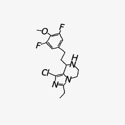 CCc1nc(Cl)c2n1CCNC2CCc1cc(F)c(OC)c(F)c1